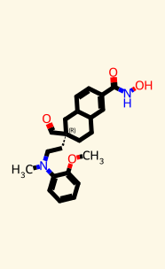 COc1ccccc1N(C)CC[C@@]1(C=O)CCC2C=C(C(=O)NO)C=CC2C1